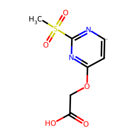 CS(=O)(=O)c1n[c]cc(OCC(=O)O)n1